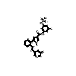 Cn1cc(C(=O)Nc2cc(Cl)cc(NS(C)(=O)=O)c2)cc1-c1ccccc1/C=C/c1cncc(F)c1